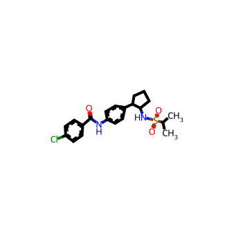 CC(C)S(=O)(=O)NC1CCCC1c1ccc(NC(=O)c2ccc(Cl)cc2)cc1